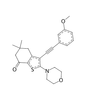 COc1cccc(C#Cc2c(N3CCOCC3)sc3c2CC(C)(C)CC3=O)c1